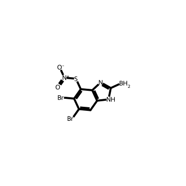 Bc1nc2c(S[N+](=O)[O-])c(Br)c(Br)cc2[nH]1